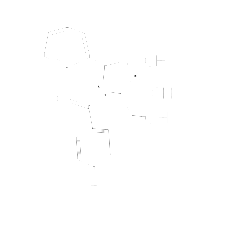 CC1(C)SC(c2ccccc2)N(C(=O)c2ccc(F)cc2)C1CO